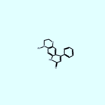 CC(C)N1CCOc2cc3c(-c4ccccc4)cc(=O)[nH]c3cc21